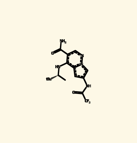 C[C@@H](Nc1c(C(N)=O)cnn2cc(NC(=O)C(F)(F)F)cc12)C(C)(C)C